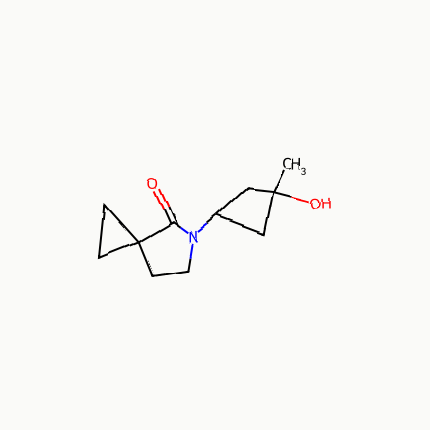 CC1(O)CC(N2CCC3(CC3)C2=O)C1